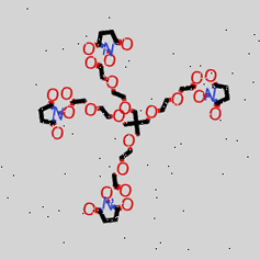 O=C(COCCOCC(COCCOCC(=O)ON1C(=O)CCC1=O)(COCCOCC(=O)ON1C(=O)CCC1=O)COCCOCC(=O)ON1C(=O)CCC1=O)ON1C(=O)CCC1=O